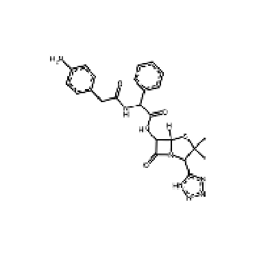 CC1(C)S[C@H]2C(NC(=O)C(NC(=O)Cc3ccc(N)cc3)c3ccccc3)C(=O)N2C1c1nnn[nH]1